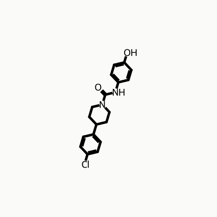 O=C(Nc1ccc(O)cc1)N1CCC(c2ccc(Cl)cc2)CC1